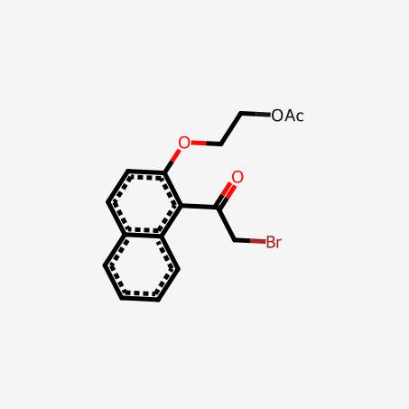 CC(=O)OCCOc1ccc2ccccc2c1C(=O)CBr